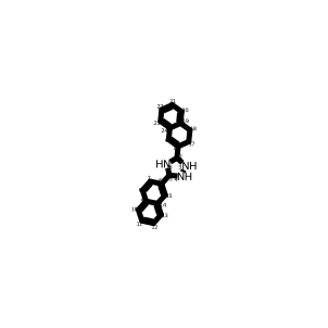 C1=C(C2NNC(c3ccc4ccccc4c3)N2)CCc2ccccc21